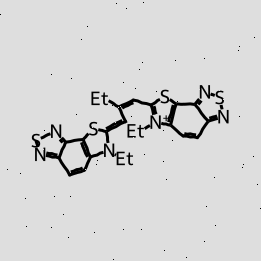 CCC(=C/c1sc2c3nsnc3ccc2[n+]1CC)/C=C1\Sc2c(ccc3nsnc23)N1CC